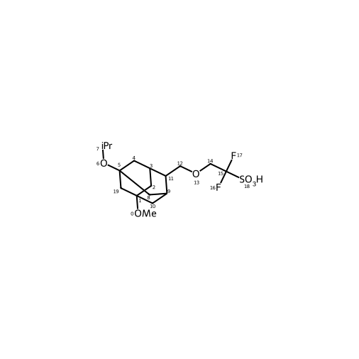 COC12CC3CC(OC(C)C)(CC(C1)C3COCC(F)(F)S(=O)(=O)O)C2